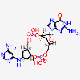 Nc1cc(N[C@@H]2C[C@@H]3COP(=O)(O)O[C@@H]4C[C@@H](COP(=O)(O)O[C@H]3C2)O[C@H]4n2cnc3c(=O)[nH]c(N)nc32)ncn1